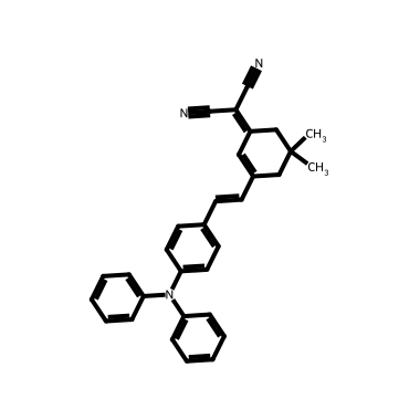 CC1(C)CC(/C=C/c2ccc(N(c3ccccc3)c3ccccc3)cc2)=CC(=C(C#N)C#N)C1